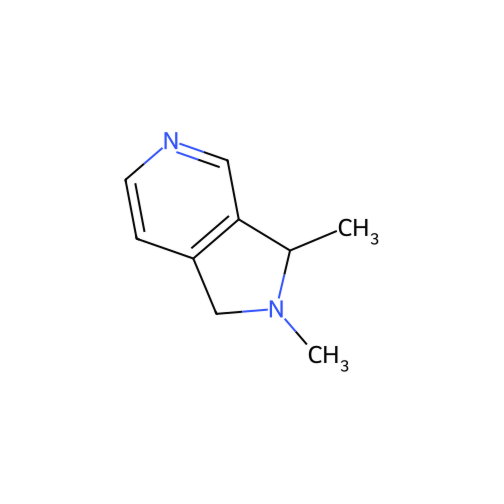 CC1c2cnccc2CN1C